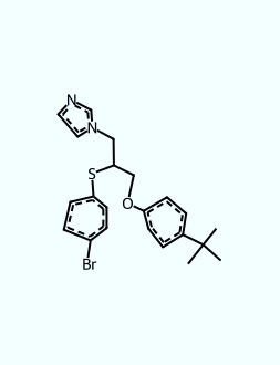 CC(C)(C)c1ccc(OCC(Cn2ccnc2)Sc2ccc(Br)cc2)cc1